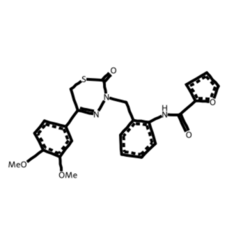 COc1ccc(C2=NN(Cc3ccccc3NC(=O)c3ccco3)C(=O)SC2)cc1OC